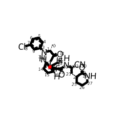 C[C@@H](Nc1cccc(Cl)c1)C(=O)N1[C@H]2CC[C@@H]([C@@H]1C(=O)N[C@@H](C#N)C[C@H]1CCCNC1=O)C(F)(F)C2